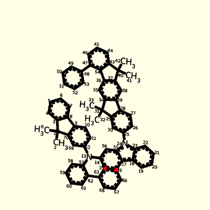 CC1(C)c2ccccc2-c2ccc(N(c3ccc4c5ccccc5n(-c5ccc6c(c5)C(C)(C)c5cc7c(cc5-6)C(C)(C)c5cccc(-c6ccccc6)c5-7)c4c3)c3ccccc3-c3ccccc3)cc21